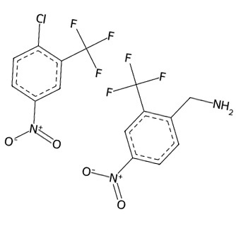 NCc1ccc([N+](=O)[O-])cc1C(F)(F)F.O=[N+]([O-])c1ccc(Cl)c(C(F)(F)F)c1